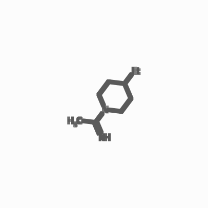 CCC1CCN(C(C)=N)CC1